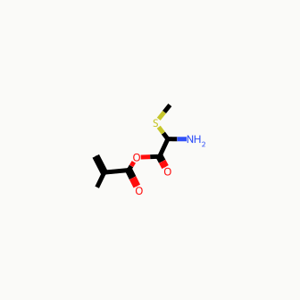 C=C(C)C(=O)OC(=O)C(N)SC